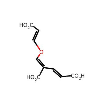 O=C(O)C=COC=C(C=CC(=O)O)C(=O)O